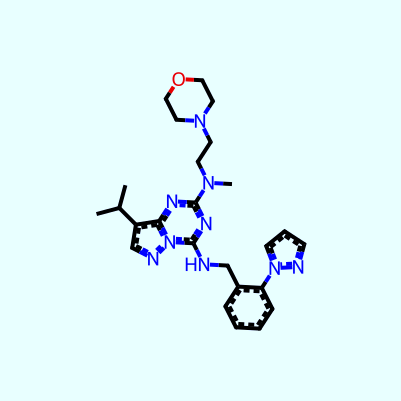 CC(C)c1cnn2c(NCc3ccccc3-n3cccn3)nc(N(C)CCN3CCOCC3)nc12